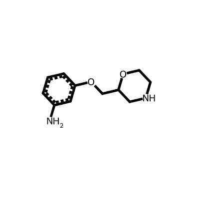 Nc1cccc(OCC2CNCCO2)c1